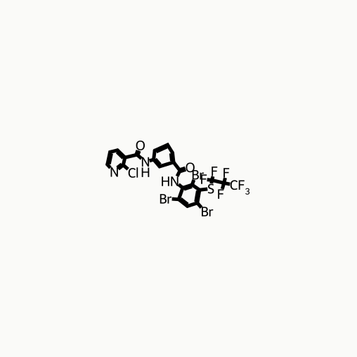 O=C(Nc1c(Br)cc(Br)c(SC(F)(F)C(F)(F)C(F)(F)F)c1Br)c1cccc(NC(=O)c2cccnc2Cl)c1